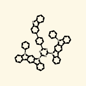 c1ccc(-n2c3ccccc3c3cc4c5ccccc5n(-c5nc(-c6ccc(-c7ccc8sc9ccccc9c8c7)cc6)nc(-n6c7ccccc7c7cc8c9ccccc9n(-c9ccccc9)c8cc76)n5)c4cc32)cc1